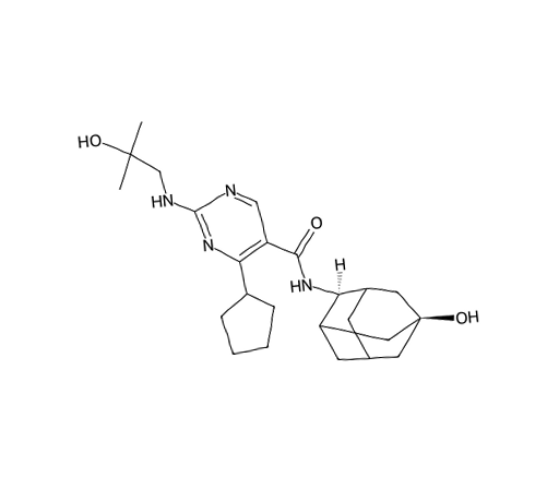 CC(C)(O)CNc1ncc(C(=O)N[C@H]2C3CC4CC2C[C@@](O)(C4)C3)c(C2CCCC2)n1